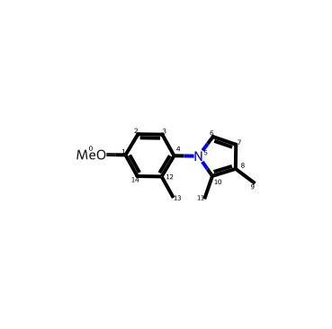 COc1ccc(-n2ccc(C)c2C)c(C)c1